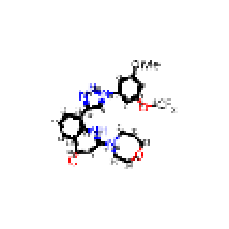 COc1cc(OC(F)(F)F)cc(-n2cc(-c3cccc4c(=O)cc(N5CCCOCC5)[nH]c34)nn2)c1